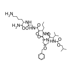 CCCC(NC(=O)[C@@H]1C[C@@H](OCc2ccccc2)CN1C(=O)C(NC(=O)OCC(C)C)C(C)C)C(=O)C(=O)NCC(=O)NC(CCCCN)C(N)=O